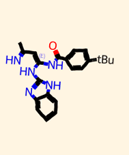 CC(=N)/C=C(/NC(=O)c1ccc(C(C)(C)C)cc1)Nc1nc2ccccc2[nH]1